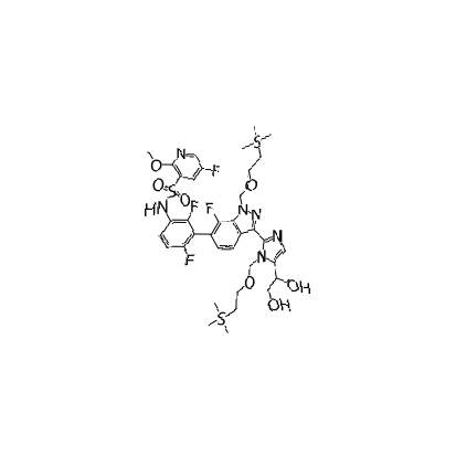 COc1ncc(F)cc1S(=O)(=O)Nc1ccc(F)c(-c2ccc3c(-c4ncc(C(O)CO)n4COCCS(C)(C)C)nn(COCCS(C)(C)C)c3c2F)c1F